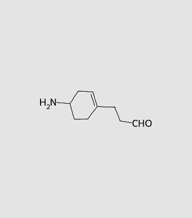 NC1CC=C(CCC=O)CC1